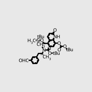 C[C@H](Cc1cccc(C=O)c1)N(C[C@H](O[Si](C)(C)C(C)(C)C)c1ccc(OC(=O)OC(C)(C)C)c2[nH]c(=O)ccc12)C(=O)OC(C)(C)C